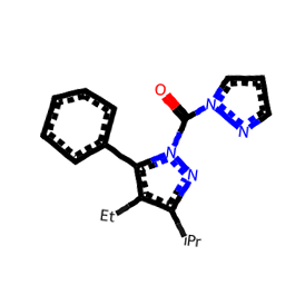 CCc1c(C(C)C)nn(C(=O)n2cccn2)c1-c1ccccc1